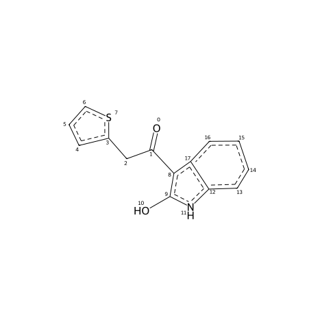 O=C(Cc1cccs1)c1c(O)[nH]c2ccccc12